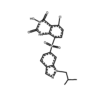 CC(C)Cn1ncc2ccc(S(=O)(=O)c3ccc(Cl)c4c(=O)n(O)c(=O)[nH]c34)cc21